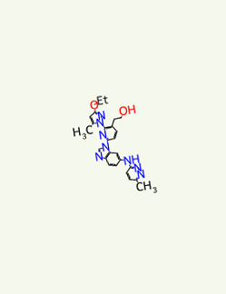 CCOc1cc(C)n(-c2nc(-n3cnc4ccc(Nc5ccc(C)nn5)cc43)ccc2CCO)n1